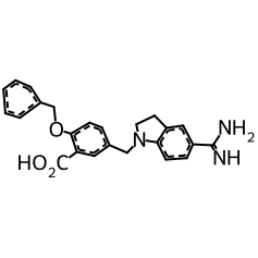 N=C(N)c1ccc2c(c1)CCN2Cc1ccc(OCc2ccccc2)c(C(=O)O)c1